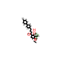 CCOc1ccc(C(=O)CCCC2CCC(C3CCC(C)CC3)CC2)c(O)c1C(F)(F)F